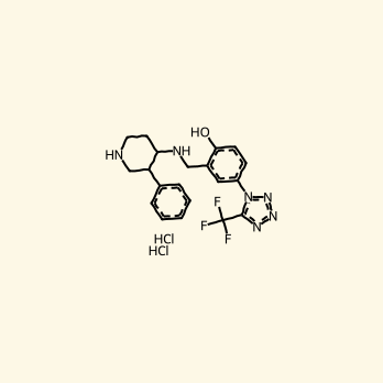 Cl.Cl.Oc1ccc(-n2nnnc2C(F)(F)F)cc1CNC1CCNCC1c1ccccc1